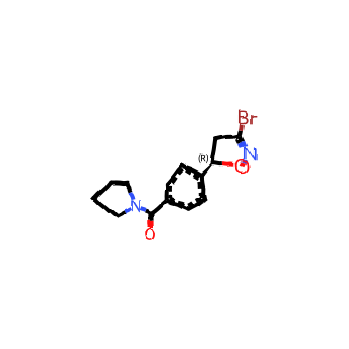 O=C(c1ccc([C@H]2CC(Br)=NO2)cc1)N1CCCC1